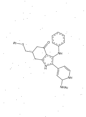 CC(=O)NC1C=C(c2[nH]c3c(c2Nc2ccccc2)C(=O)CC(CSC(C)C)C3)C=CN1